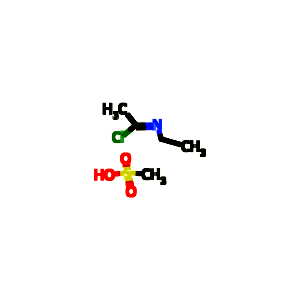 CCN=C(C)Cl.CS(=O)(=O)O